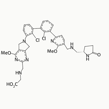 COc1nc(-c2cccc(-c3cccc(N4Cc5nc(CNCC(=O)O)nc(OC)c5C4)c3Cl)c2Cl)ccc1CNC[C@@H]1CCC(=O)N1